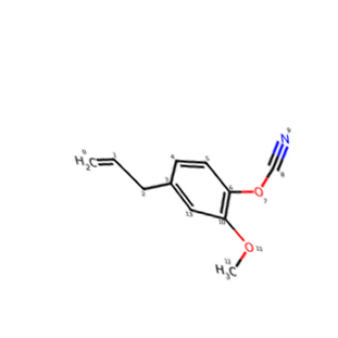 C=CCc1ccc(OC#N)c(OC)c1